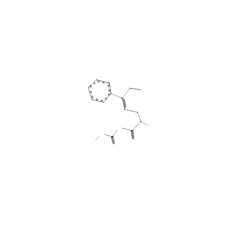 CC/C(=C\CC(C)C(=O)OC(=O)OC)c1ccccc1